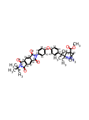 COC(=O)C1(CC(C)(N)C(C)(C)c2ccc(Oc3ccc(-n4c(=O)c5cc6c(=O)n(C(C)(C)C)c(=O)c6cc5c4=O)cc3)cc2)CC1C